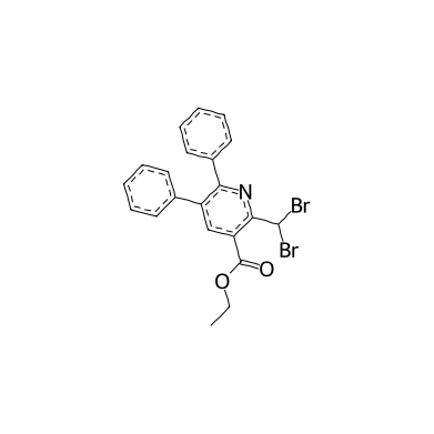 CCOC(=O)c1cc(-c2ccccc2)c(-c2ccccc2)nc1C(Br)Br